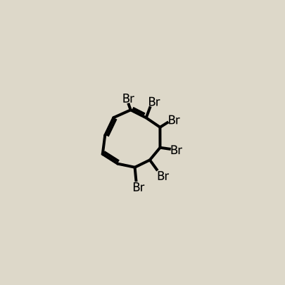 BrC1=C(Br)C(Br)C(Br)C(Br)C(Br)C=CC=C1